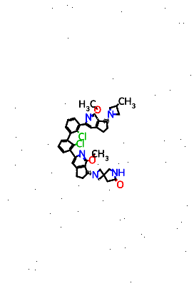 COc1nc(-c2cccc(-c3cccc(-c4cc5c(c(OC)n4)[C@H](N4CC6(CNC(=O)C6)C4)CC5)c3Cl)c2Cl)cc2c1[C@H](N1CC(C)C1)CC2